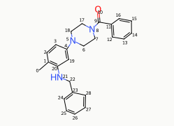 Cc1ccc(N2CCN(C(=O)c3ccccc3)CC2)cc1NCc1ccccc1